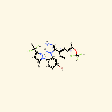 C=CC(=C\C=C(/C)OC(F)(F)F)/C(=C/N)N(N)c1cc(Br)ccc1-n1nc(C(C)(F)F)cc1C